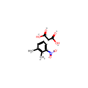 Cc1cccc([N+](=O)[O-])c1C.O=C(O)CC(=O)O